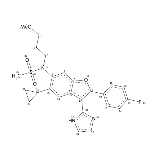 COCCCN(c1cc2oc(-c3ccc(F)cc3)c(-c3ncc[nH]3)c2cc1C1CC1)S(C)(=O)=O